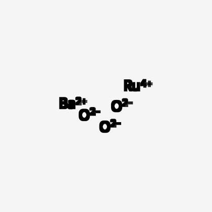 [Ba+2].[O-2].[O-2].[O-2].[Ru+4]